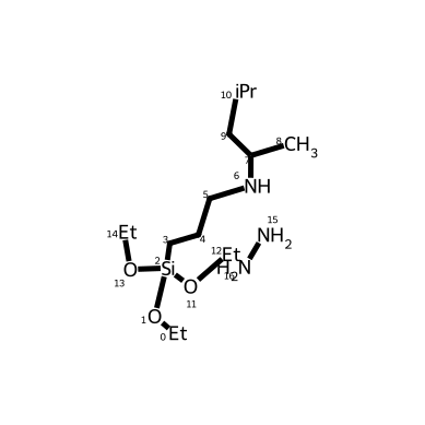 CCO[Si](CCCNC(C)CC(C)C)(OCC)OCC.NN